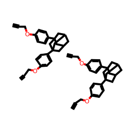 C#CCOc1ccc(C23CC4CC(C2)CC(c2ccc(OCC#C)cc2)(C4)C3)cc1.C#CCOc1ccc(C23CC4CC(C2)CC(c2ccc(OCC#C)cc2)(C4)C3)cc1